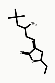 CCC1C/C(=C/CC(N)CC(C)(C)C)C(=O)O1